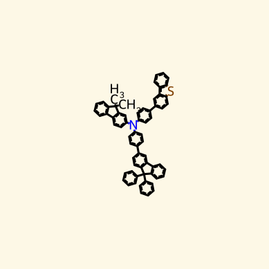 CC1(C)c2ccccc2-c2ccc(N(c3ccc(-c4ccc5c(c4)-c4ccccc4C5(c4ccccc4)c4ccccc4)cc3)c3ccc(-c4ccc5sc6ccccc6c5c4)cc3)cc21